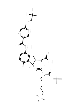 CC1[C@@](C)(C(=O)O)SC(N(COCC[Si](C)(C)C)C(=O)OC(C)(C)C)=N[C@]1(C)c1cc(NC(=O)c2cnc(OCC(F)(F)F)cn2)ccc1F